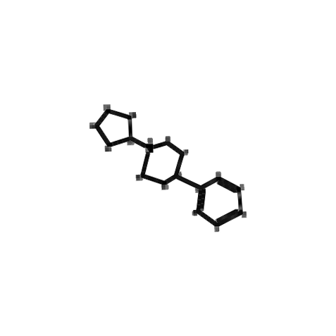 [c]1ccccc1C1CCN(C2CCCC2)CC1